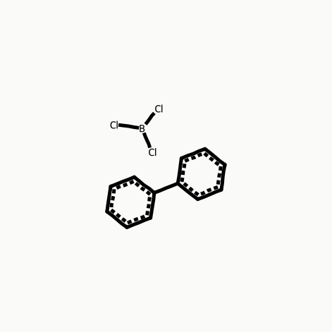 ClB(Cl)Cl.c1ccc(-c2ccccc2)cc1